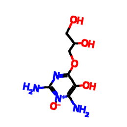 Nc1nc(OCC(O)CO)c(O)c(N)[n+]1[O-]